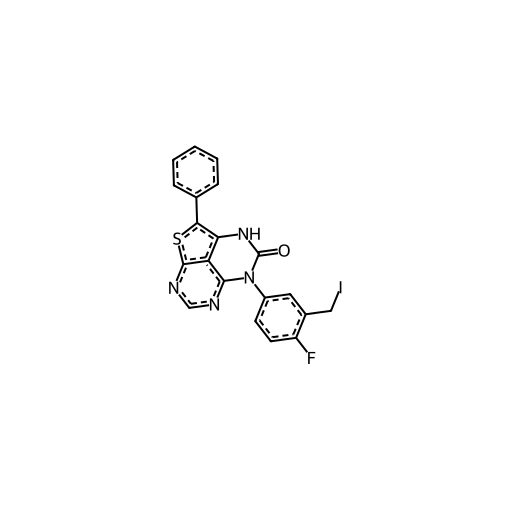 O=C1Nc2c(-c3ccccc3)sc3ncnc(c23)N1c1ccc(F)c(CI)c1